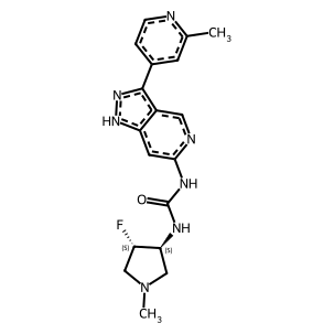 Cc1cc(-c2n[nH]c3cc(NC(=O)N[C@H]4CN(C)C[C@@H]4F)ncc23)ccn1